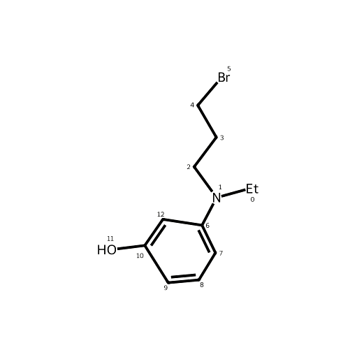 CCN(CCCBr)c1cccc(O)c1